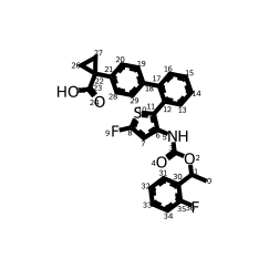 CC(OC(=O)Nc1cc(F)sc1-c1ccccc1-c1ccc(C2(C(=O)O)CC2)cc1)c1ccccc1F